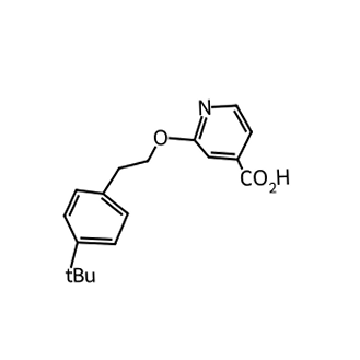 CC(C)(C)c1ccc(CCOc2cc(C(=O)O)ccn2)cc1